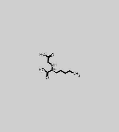 NCCCC[C@H](NCC(=O)O)C(=O)O